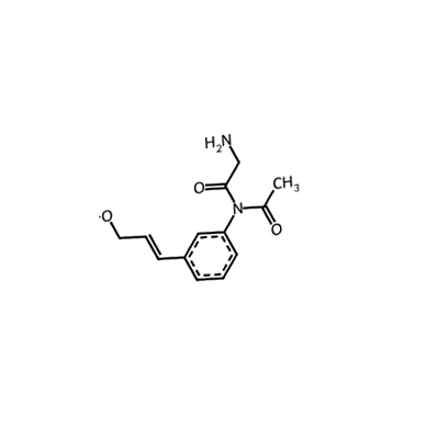 CC(=O)N(C(=O)CN)c1cccc(C=CC[O])c1